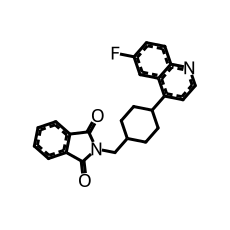 O=C1c2ccccc2C(=O)N1CC1CCC(c2ccnc3ccc(F)cc23)CC1